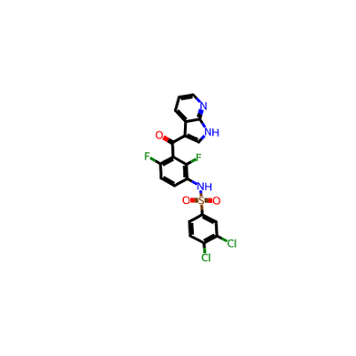 O=C(c1c(F)ccc(NS(=O)(=O)c2ccc(Cl)c(Cl)c2)c1F)c1c[nH]c2ncccc12